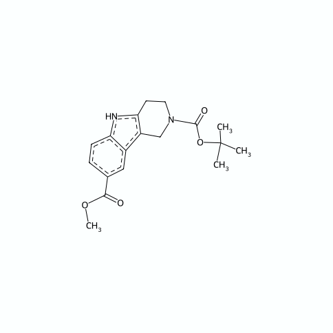 COC(=O)c1ccc2[nH]c3c(c2c1)CN(C(=O)OC(C)(C)C)CC3